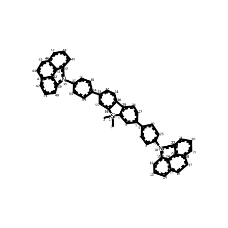 C[Si]1(C)c2cc(-c3ccc(-n4c5cccc6ccc7cccc4c7c65)cc3)ccc2-c2ccc(-c3ccc(-n4c5cccc6ccc7cccc4c7c65)cc3)cc21